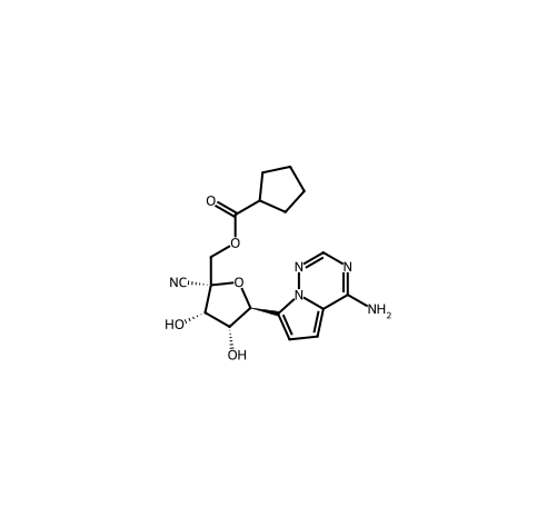 N#C[C@]1(COC(=O)C2CCCC2)O[C@@H](c2ccc3c(N)ncnn23)[C@H](O)[C@@H]1O